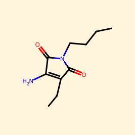 CCCCN1C(=O)C(N)=C(CC)C1=O